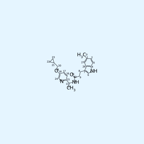 Cc1ccc2[nH]cc(CCC(=O)NC(C)c3ccc(OCC4CC4)cn3)c2c1